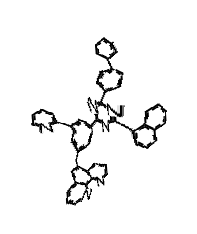 c1ccc(-c2ccc(-c3nc(-c4cc(-c5ccccn5)cc(-c5cc6cccnc6c6ncccc56)c4)nc(-c4cccc5ccccc45)n3)cc2)cc1